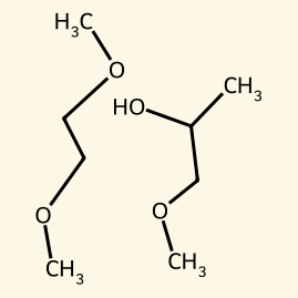 COCC(C)O.COCCOC